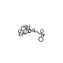 CCN1Cc2cc(OCCCC(=O)N(C)C3CCCCC3)cn2C2NCCC(=O)C21